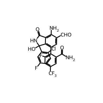 NC(=O)c1cc(C(F)(F)F)cc(F)c1-c1cc(C=O)c(N)c2c1C(O)(c1cc(F)ccc1Cl)NC2=O